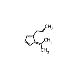 C=CCC1=CC=CC1=C(C)C